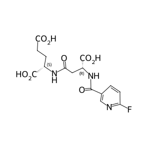 O=C(O)CC[C@H](NC(=O)C[C@@H](NC(=O)c1ccc(F)nc1)C(=O)O)C(=O)O